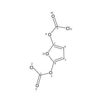 O=C(Cl)Oc1ccc(OC(=O)Cl)o1